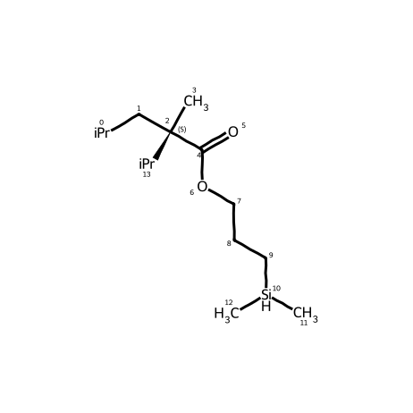 CC(C)C[C@](C)(C(=O)OCCC[SiH](C)C)C(C)C